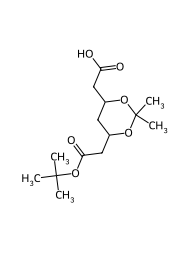 CC(C)(C)OC(=O)CC1CC(CC(=O)O)OC(C)(C)O1